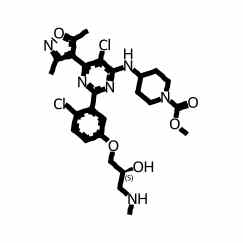 CNC[C@H](O)COc1ccc(Cl)c(-c2nc(NC3CCN(C(=O)OC)CC3)c(Cl)c(-c3c(C)noc3C)n2)c1